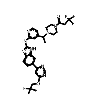 CC(c1ccnc(Nc2nc3ccc(-c4cc(OCC(C)(F)F)ncn4)cc3[nH]2)c1)N1CCN(C(=O)CC(F)(F)F)CC1